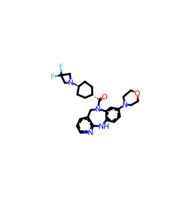 O=C([C@H]1CC[C@H](N2CC(F)(F)C2)CC1)N1Cc2cccnc2Nc2ccc(N3CCOCC3)cc21